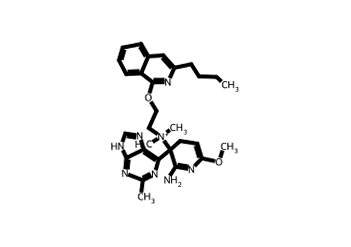 CCCCc1cc2ccccc2c(OCC[N+](C)(C)C2(c3nc(C)nc4[nH]cnc34)CC=C(OC)N=C2N)n1